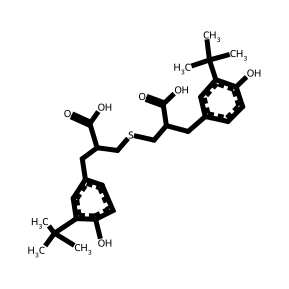 CC(C)(C)c1cc(CC(CSCC(Cc2ccc(O)c(C(C)(C)C)c2)C(=O)O)C(=O)O)ccc1O